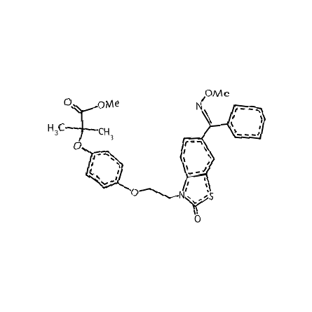 CON=C(c1ccccc1)c1ccc2c(c1)sc(=O)n2CCOc1ccc(OC(C)(C)C(=O)OC)cc1